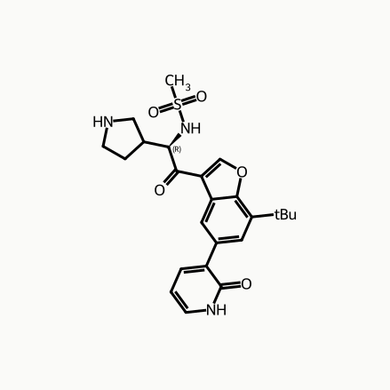 CC(C)(C)c1cc(-c2ccc[nH]c2=O)cc2c(C(=O)[C@H](NS(C)(=O)=O)C3CCNC3)coc12